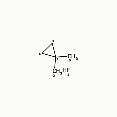 CC1(C)CC1.F